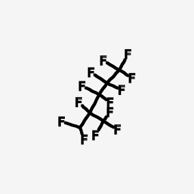 FC(F)C(F)(C(F)(F)F)C(F)(F)C(F)(F)C(F)(F)F